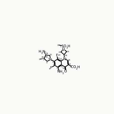 CS(=O)(=O)O.C[C@@H]1CN(c2c(F)c(N)c3c(=O)c(C(=O)O)cn(C4COC4)c3c2F)C[C@@H]1N